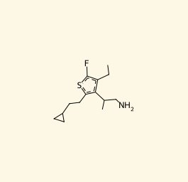 CCc1c(F)sc(CCC2CC2)c1C(C)CN